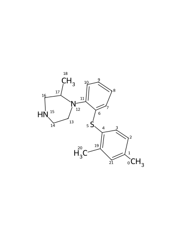 Cc1ccc(Sc2ccccc2N2CCNCC2C)c(C)c1